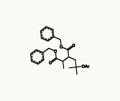 CC(=O)OC(C)(C)CC(C(=O)OCc1ccccc1)C(C)C(=O)OCc1ccccc1